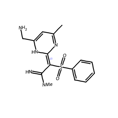 CNC(=N)/C(=C1/N=C(C)C=C(CN)N1)S(=O)(=O)c1ccccc1